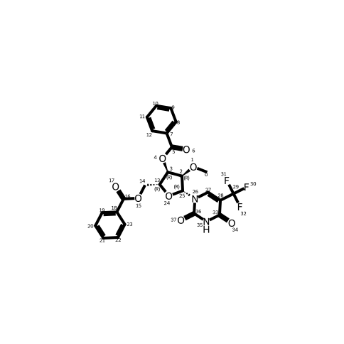 CO[C@@H]1[C@H](OC(=O)c2ccccc2)[C@@H](COC(=O)c2ccccc2)O[C@H]1n1cc(C(F)(F)F)c(=O)[nH]c1=O